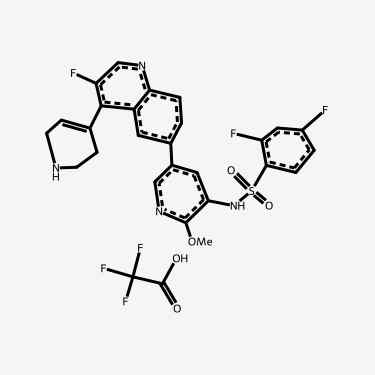 COc1ncc(-c2ccc3ncc(F)c(C4=CCNCC4)c3c2)cc1NS(=O)(=O)c1ccc(F)cc1F.O=C(O)C(F)(F)F